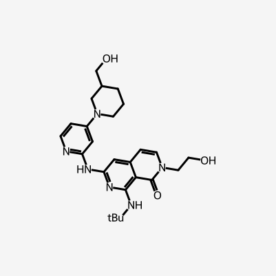 CC(C)(C)Nc1nc(Nc2cc(N3CCCC(CO)C3)ccn2)cc2ccn(CCO)c(=O)c12